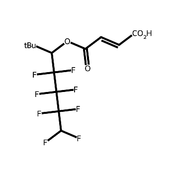 CC(C)(C)C(OC(=O)C=CC(=O)O)C(F)(F)C(F)(F)C(F)(F)C(F)F